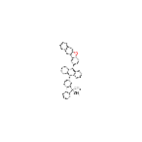 CC1(C)c2ccccc2-c2ccc(-c3c4ccccc4c(-c4ccc5oc6cc7ccccc7cc6c5c4)c4ccccc34)cc21